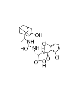 CC(NC(O)NC[C@H](NC(=O)c1c(Cl)cccc1Cl)C(=O)O)C12CC3CC(CC(O)(C3)C1)C2